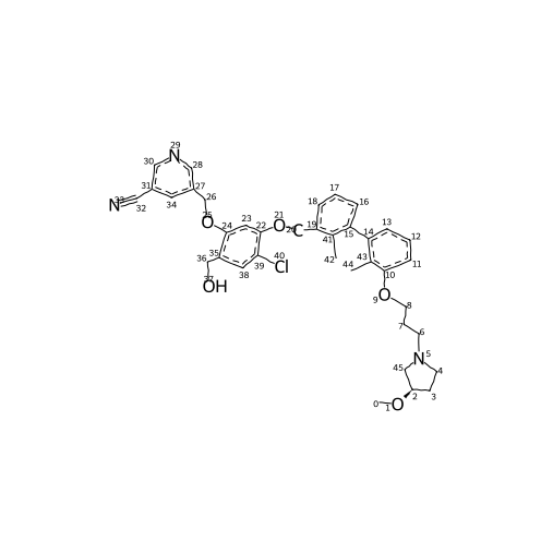 CO[C@@H]1CCN(CCCOc2cccc(-c3cccc(COc4cc(OCc5cncc(C#N)c5)c(CO)cc4Cl)c3C)c2C)C1